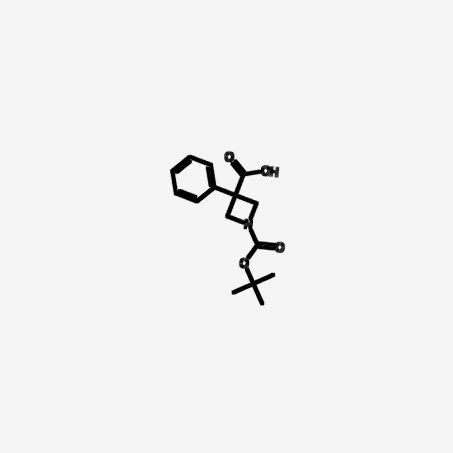 CC(C)(C)OC(=O)N1CC(C(=O)O)(c2ccccc2)C1